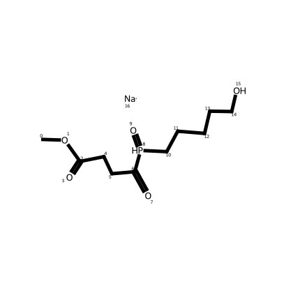 COC(=O)CCC(=O)[PH](=O)CCCCCO.[Na]